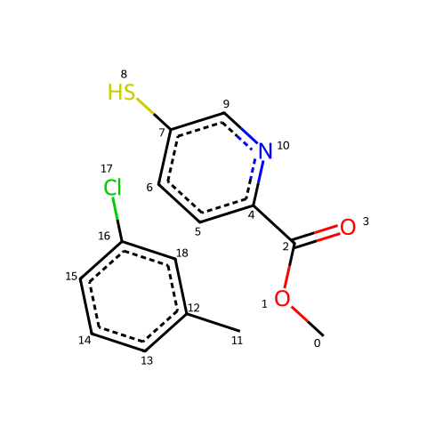 COC(=O)c1ccc(S)cn1.Cc1cccc(Cl)c1